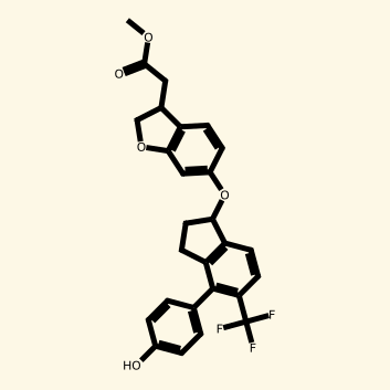 COC(=O)CC1COc2cc(OC3CCc4c3ccc(C(F)(F)F)c4-c3ccc(O)cc3)ccc21